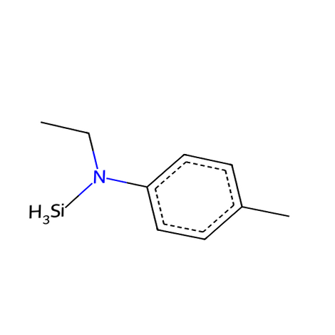 CCN([SiH3])c1ccc(C)cc1